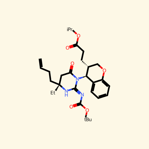 C=CCC[C@]1(CC)CC(=O)N([C@@H]2c3ccccc3OC[C@H]2CCC(=O)OC(C)C)/C(=N/C(=O)OC(C)(C)C)N1